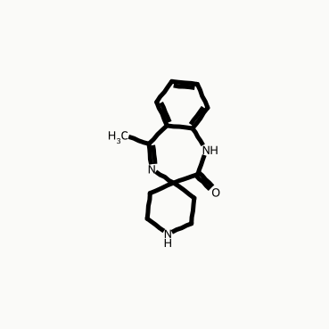 CC1=NC2(CCNCC2)C(=O)Nc2ccccc21